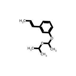 CC=Cc1cccc(OC(C)OC(C)C)c1